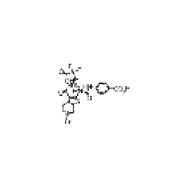 CCN1CCc2c(sc(NC(=O)Nc3ccc(C(=O)O)cc3)c2C(N)=O)C1.O=C(O)C(F)(F)F